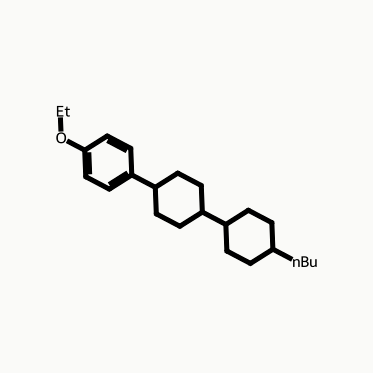 CCCCC1CCC(C2CCC(c3ccc(OCC)cc3)CC2)CC1